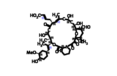 CO[C@@H]1C[C@H](/C=C(\C)[C@H]2OC(=O)[C@@H]3CCCCN3C(=O)C(=O)[C@]3(O)O[C@H]([C@@H](O)C[C@@H](O)C/C(C)=C/[C@@H](C/C=C/C(=O)O)C(=O)C[C@H](O)[C@H]2C)[C@@H](C=O)C[C@H]3C)CC[C@H]1O